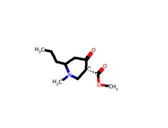 CCCC1CC(=O)[C@H](C(=O)OC)CN1C